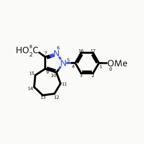 COc1ccc(-n2nc(C(=O)O)c3c2CCCCC3)cc1